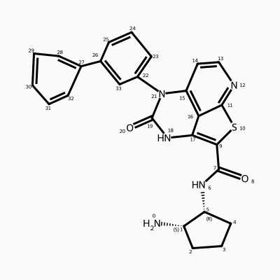 N[C@H]1CCC[C@H]1NC(=O)c1sc2nccc3c2c1NC(=O)N3c1cccc(-c2ccccc2)c1